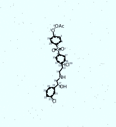 CC(=O)OOc1ccc(S(=O)(=O)c2ccc(CCNC[C@H](O)c3cccc(Cl)c3)cc2)cc1.Cl